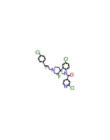 O=C(c1ccnc(Cl)c1)N1C[C@]2(CCN(C/C=C/c3ccc(Cl)cc3)C[C@H]2F)c2cc(Cl)ccc21